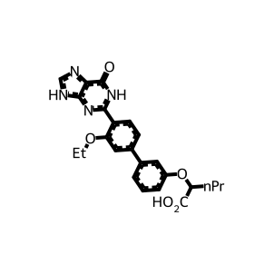 CCCC(Oc1cccc(-c2ccc(-c3nc4[nH]cnc4c(=O)[nH]3)c(OCC)c2)c1)C(=O)O